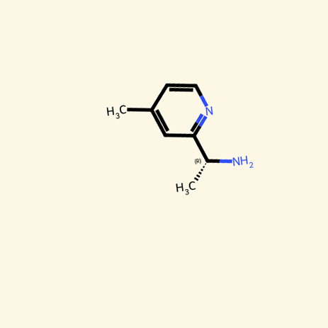 Cc1ccnc([C@@H](C)N)c1